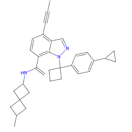 C=C(NC1CC2(CC(C)C2)C1)c1ccc(C#CC)c2cnn(C3(c4ccc(C5CC5)cc4)CCC3)c12